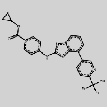 CCC(C#N)(CC)c1ccc(-c2cccn3nc(Nc4ccc(C(=O)NC5CC5)cc4)nc23)cn1